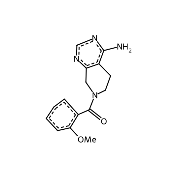 COc1ccccc1C(=O)N1CCc2c(N)ncnc2C1